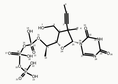 CC#CC1(F)C(CO)[C@@H]([C@@H](C)OP(=O)(O)OP(=O)(O)OP(=O)(O)O)O[C@H]1n1cnc(=O)[nH]c1=O